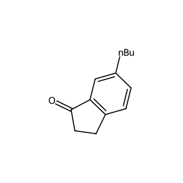 CCCCc1ccc2c(c1)C(=O)CC2